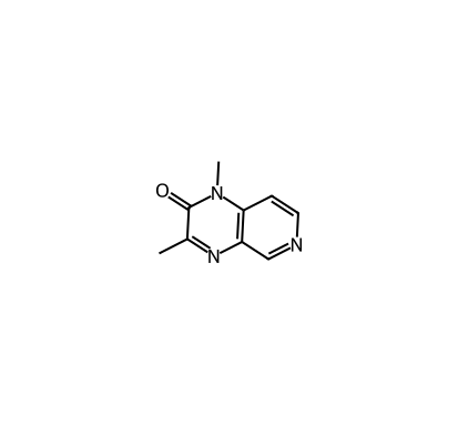 Cc1nc2cnccc2n(C)c1=O